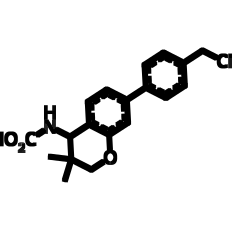 CC1(C)COc2cc(-c3ccc(CC#N)cc3)ccc2C1NC(=O)O